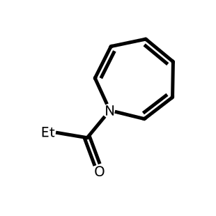 CCC(=O)N1C=CC=CC=C1